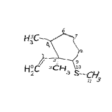 C=C[C@@]1(C)C(C)CCCC1SC